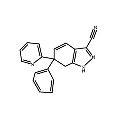 N#Cc1n[nH]c2c1C=CC(c1ccccc1)(c1ccccn1)C2